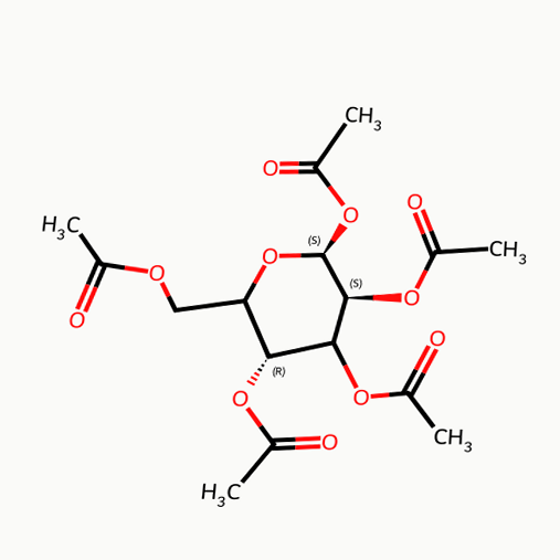 CC(=O)OCC1O[C@@H](OC(C)=O)[C@@H](OC(C)=O)C(OC(C)=O)[C@@H]1OC(C)=O